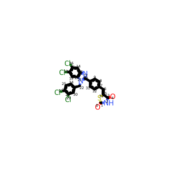 O=C1NC(=O)C(=Cc2ccc(-c3nc4cc(Cl)c(Cl)cc4n3Cc3ccc(Cl)c(Cl)c3)cc2)S1